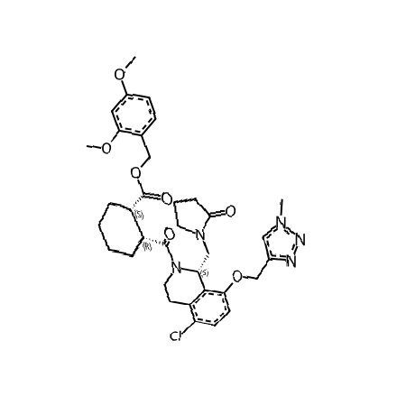 COc1ccc(COC(=O)[C@H]2CCCC[C@H]2C(=O)N2CCc3c(Cl)ccc(OCc4cn(C)nn4)c3[C@H]2CN2CCCC2=O)c(OC)c1